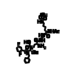 CC(=O)N[C@@H](CCCCNC(=O)OC(C)(C)C)C(=O)NCCNC(=O)[C@@H](N)CCN(C(=O)CO)[C@@H](c1cc(-c2cc(F)ccc2F)cn1Cc1ccccc1)C(C)(C)C